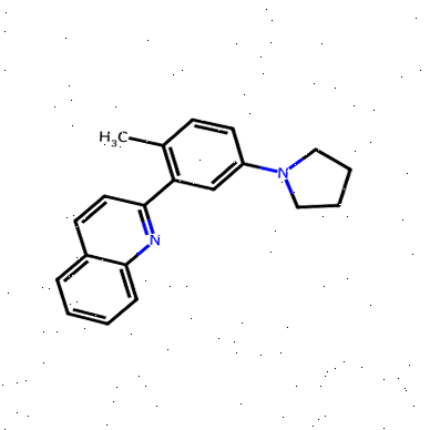 Cc1ccc(N2CCCC2)cc1-c1ccc2ccccc2n1